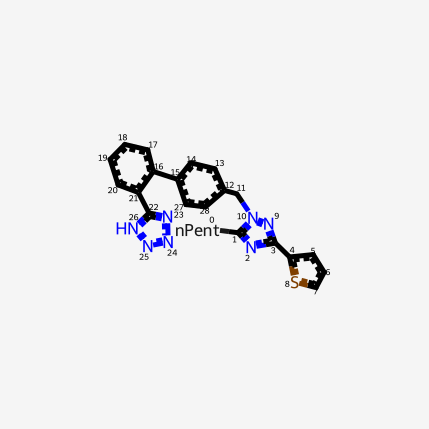 CCCCCc1nc(-c2cccs2)nn1Cc1ccc(-c2ccccc2-c2nnn[nH]2)cc1